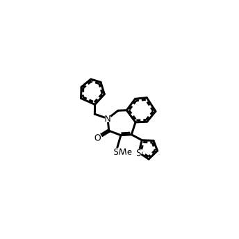 CSC1=C(c2cccs2)c2ccccc2CN(Cc2ccccc2)C1=O